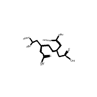 CCCCCCC(CCCC)CC(CCC(CC(O)=S)CC(CCCC)CCCCCC)CC(O)=S